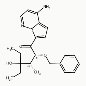 CCC(O)(CC)[C@@H](C)[C@@H](OCc1ccccc1)C(=O)c1ccc2c(N)ccnn12